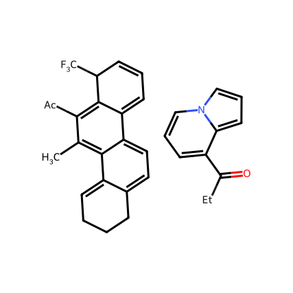 CC(=O)c1c2c(c3ccc4c(c3c1C)=CCCC4)=CC=CC2C(F)(F)F.CCC(=O)c1cccn2cccc12